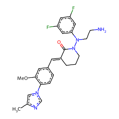 COc1cc(/C=C2\CCCN(N(CCN)c3cc(F)cc(F)c3)C2=O)ccc1-n1cnc(C)c1